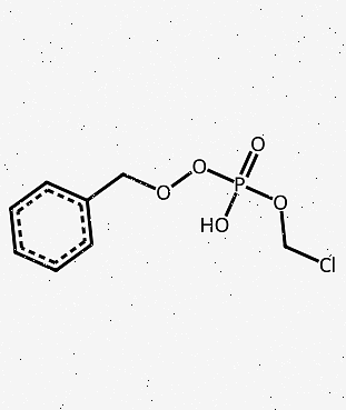 O=P(O)(OCCl)OOCc1ccccc1